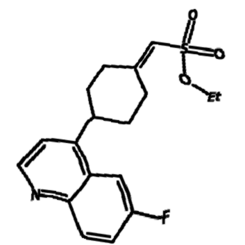 CCOS(=O)(=O)C=C1CCC(c2ccnc3ccc(F)cc23)CC1